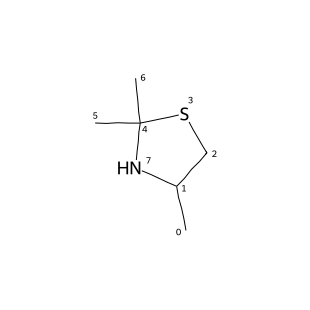 CC1CSC(C)(C)N1